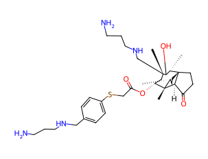 C[C@@H]1CC[C@@]23CCC(=O)[C@H]2[C@]1(C)[C@H](OC(=O)CSc1ccc(CNCCCN)cc1)C[C@](C)(CNCCCN)C(O)[C@@H]3C